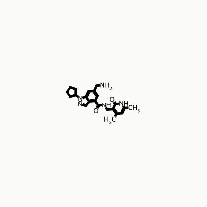 Cc1cc(C)c(CNC(=O)c2cc(CN)cc3c2cnn3C2CCCC2)c(=O)[nH]1